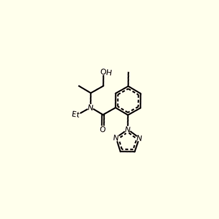 CCN(C(=O)c1cc(C)ccc1-n1nccn1)C(C)CO